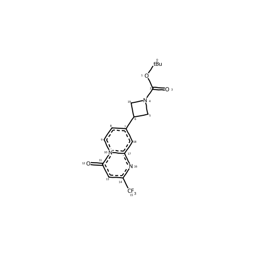 CC(C)(C)OC(=O)N1CC(c2ccn3c(=O)cc(C(F)(F)F)nc3c2)C1